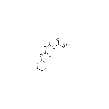 C/C=C/C(=O)OC(C)OC(=O)OC1CCCCC1